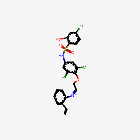 C=Cc1ccccc1/N=C\COc1c(Cl)cc(NS(=O)(=O)c2ccc(Cl)cc2O)cc1Cl